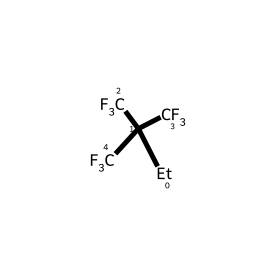 CCC(C(F)(F)F)(C(F)(F)F)C(F)(F)F